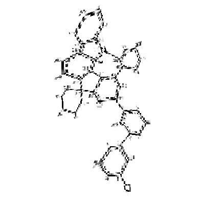 Clc1cccc(-c2cccc(-c3cc4c5c(c3)C3(CCCCC3)c3ccc6c7ccccc7n(c6c3-5)-c3ccccc3-4)c2)c1